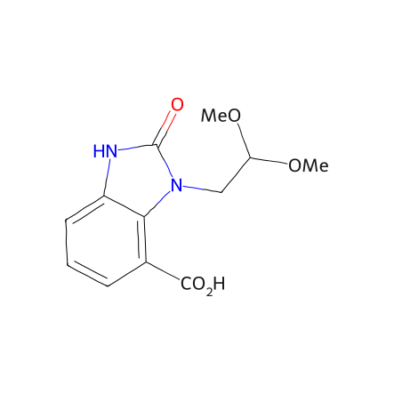 COC(Cn1c(=O)[nH]c2cccc(C(=O)O)c21)OC